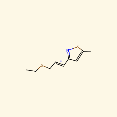 CCSC/C=C/c1cc(C)sn1